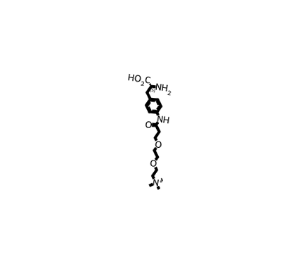 C[N+](C)(C)CCOCCOCCC(=O)Nc1ccc(C[C@H](N)C(=O)O)cc1